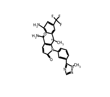 C[C@H](c1cc(N)cc(C(F)(F)F)c1)c1c(C(N)=O)ccc(=O)n1-c1cccc(-c2ncnn2C)c1